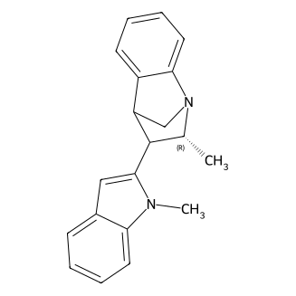 C[C@@H]1C(c2cc3ccccc3n2C)C2CN1c1ccccc12